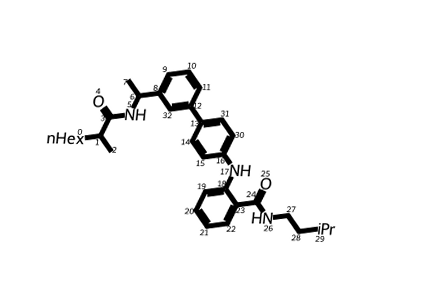 CCCCCCC(C)C(=O)NC(C)c1cccc(-c2ccc(Nc3ccccc3C(=O)NCCC(C)C)cc2)c1